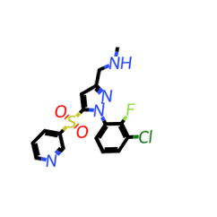 CNCc1cc(S(=O)(=O)c2cccnc2)n(-c2cccc(Cl)c2F)n1